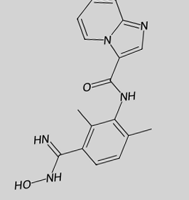 Cc1ccc(C(=N)NO)c(C)c1NC(=O)c1cnc2ccccn12